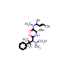 CC(C)[C@@H](/C=C/C#N)N(C)C(=O)[C@@H](NC(=O)[C@@H](N(C)C(=O)O)C(C)(C)c1ccccc1)C(C)(C)C